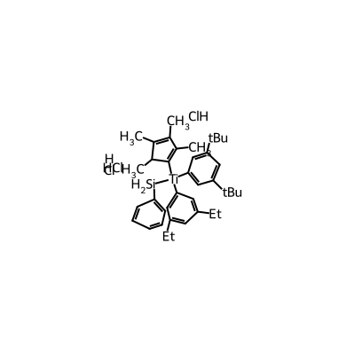 CCc1cc(CC)c[c]([Ti]([SiH2]c2ccccc2)([C]2=C(C)C(C)=C(C)C2C)[c]2cc(C(C)(C)C)cc(C(C)(C)C)c2)c1.Cl.Cl.Cl